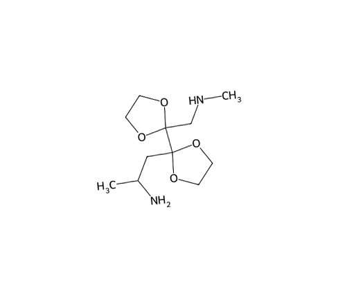 CNCC1(C2(CC(C)N)OCCO2)OCCO1